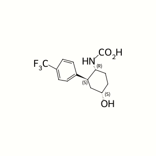 O=C(O)N[C@@H]1CC[C@H](O)C[C@H]1c1ccc(C(F)(F)F)cc1